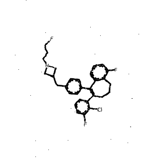 FCCCN1CC(Cc2ccc(C3=C(c4cccc(F)c4Cl)CCCc4c(F)cccc43)cc2)C1